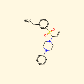 C=CC(N1CCN(c2ccccc2)CC1)S(=O)(=O)c1cccc(CC(=O)O)c1